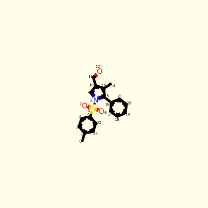 Cc1ccc(S(=O)(=O)n2cc(C=O)c(C)c2-c2ccccc2)cc1